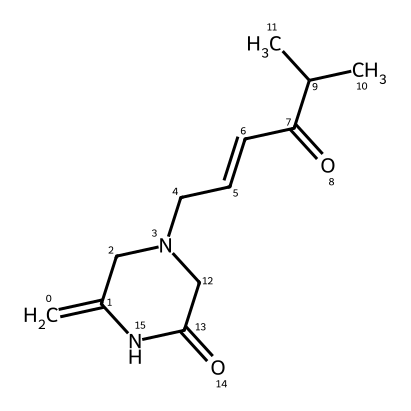 C=C1CN(C/C=C/C(=O)C(C)C)CC(=O)N1